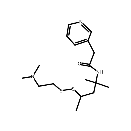 CC(CC(C)(C)NC(=O)Cc1cccnc1)SSCCN(C)C